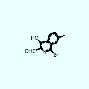 O=[C]c1nc(Br)c2cc(F)ccc2c1O